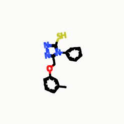 Cc1cccc(OCc2nnc(S)n2-c2ccccc2)c1